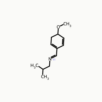 COC1C=CC(/C=N/CC(C)C)=CC1